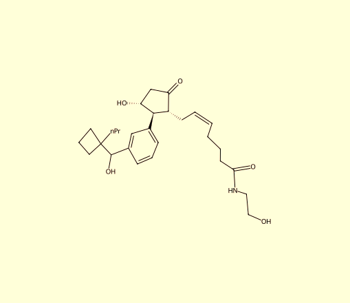 CCCC1(C(O)c2cccc([C@H]3[C@H](O)CC(=O)[C@@H]3C/C=C\CCCC(=O)NCCO)c2)CCC1